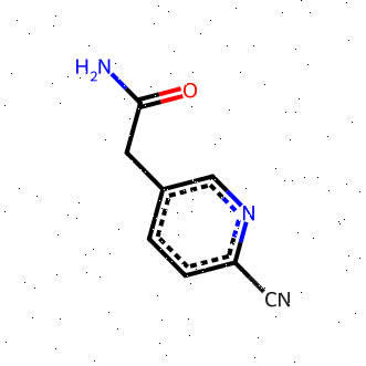 N#Cc1ccc(CC(N)=O)cn1